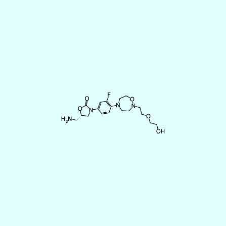 NC[C@H]1CN(c2ccc(N3CCON(CCOCCO)CC3)c(F)c2)C(=O)O1